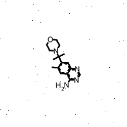 Cc1cc2c(N)ncnc2cc1C(C)(C)N1CCOCC1